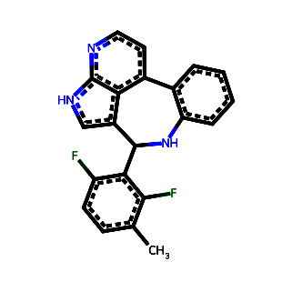 Cc1ccc(F)c(C2Nc3ccccc3-c3ccnc4[nH]cc2c34)c1F